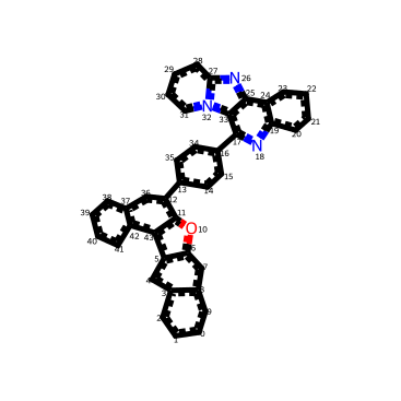 c1ccc2cc3c(cc2c1)oc1c(-c2ccc(-c4nc5ccccc5c5nc6ccccn6c45)cc2)cc2ccccc2c13